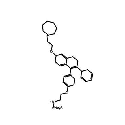 CCCCCCCNCCOC1=CC=C(C2=C(C3C=CC=CC3)CCC3=CC(OCCN4CCCCCC4)CC=C32)CC1